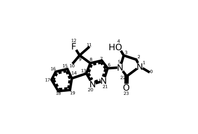 CN1CC(O)N(c2cc(C(C)(C)F)c(-c3ccccc3)nn2)C1=O